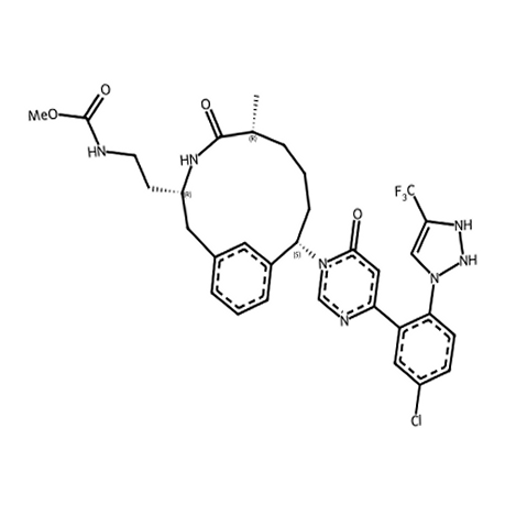 COC(=O)NCC[C@H]1Cc2cccc(c2)[C@@H](n2cnc(-c3cc(Cl)ccc3N3C=C(C(F)(F)F)NN3)cc2=O)CCC[C@@H](C)C(=O)N1